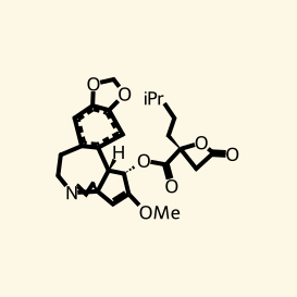 COC1=C[C@]23CCCN2CCc2cc4c(cc2[C@@H]3[C@@H]1OC(=O)[C@@]1(CCC(C)C)CC(=O)O1)OCO4